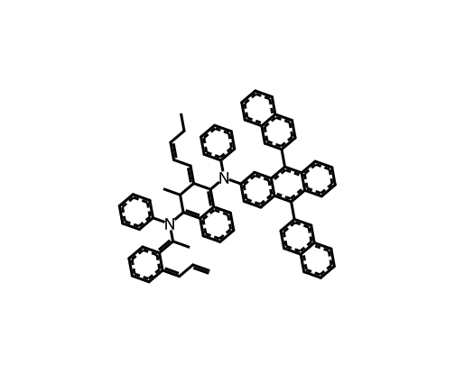 C=C/C=c1/cccc/c1=C(/C)N(C1=c2ccccc2=C(N(c2ccccc2)c2ccc3c(-c4ccc5ccccc5c4)c4ccccc4c(-c4ccc5ccccc5c4)c3c2)/C(=C/C=C\CC)C1C)c1ccccc1